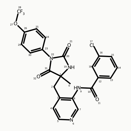 CC1(Cc2ccncc2NC(=O)c2cccc(Cl)c2)NC(=O)N(c2ccc(OC(F)(F)F)cc2)C1=O